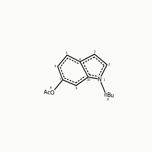 CCCCn1ccc2ccc(OC(C)=O)cc21